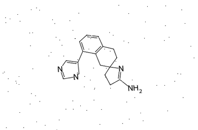 NC1=NC2(CC1)CCc1cccc(-c3cncnc3)c1C2